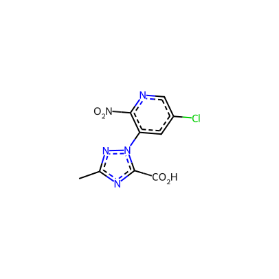 Cc1nc(C(=O)O)n(-c2cc(Cl)cnc2[N+](=O)[O-])n1